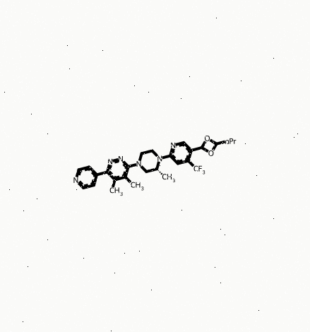 CCCC1OC(c2cnc(N3CCN(c4nnc(-c5ccncc5)c(C)c4C)C[C@H]3C)cc2C(F)(F)F)O1